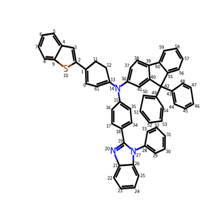 C1=C(c2cc3ccccc3s2)CCC(N(c2ccc(-c3nc4ccccc4n3-c3ccccc3)cc2)c2ccc3c(c2)C(c2ccccc2)(c2ccccc2)c2ccccc2-3)=C1